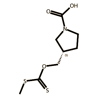 CSC(=S)OC[C@H]1CCN(C(=O)O)C1